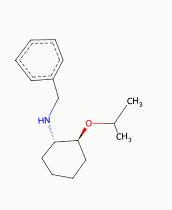 CC(C)O[C@H]1CCCC[C@@H]1NCc1ccccc1